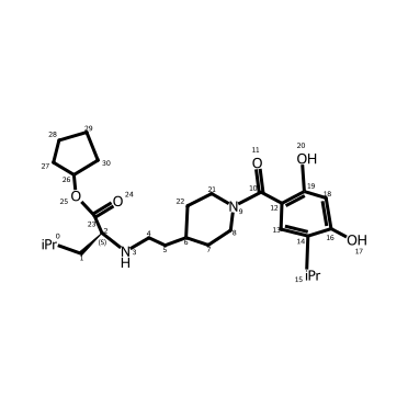 CC(C)C[C@H](NCCC1CCN(C(=O)c2cc(C(C)C)c(O)cc2O)CC1)C(=O)OC1CCCC1